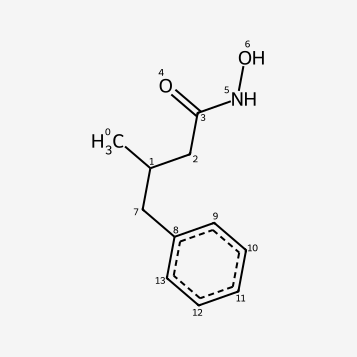 CC(CC(=O)NO)Cc1ccccc1